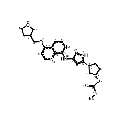 CCC(C)NC(=O)O[C@@H]1CC[C@H](c2cc(Nc3nccc4c(OCC5CCOC5)ccnc34)n[nH]2)C1